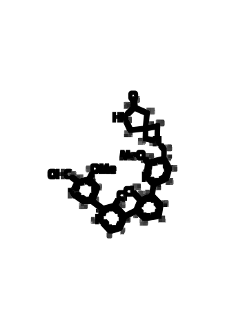 COc1cc(-c2nccc(-c3cccc(-c4ccc(CN5CC6(CNC(=O)C6)C5)c(OC)n4)c3Cl)c2Cl)cnc1C=O